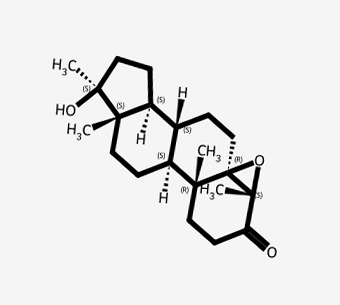 C[C@]1(O)CC[C@H]2[C@@H]3CC[C@]45O[C@]4(C)C(=O)CC[C@]5(C)[C@H]3CC[C@@]21C